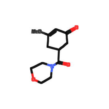 COC1=CC(=O)CC(C(=O)N2CCOCC2)C1